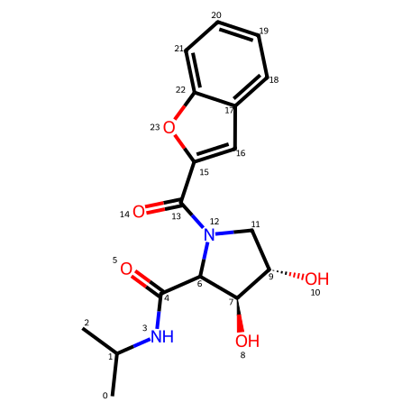 CC(C)NC(=O)C1[C@H](O)[C@@H](O)CN1C(=O)c1cc2ccccc2o1